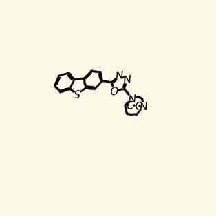 c1ccc2c(c1)sc1cc(-c3nnc(N4CCN5CCC4CC5)o3)ccc12